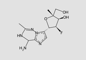 CC1=Nn2c([C@@H]3O[C@](C)(CO)[C@@H](O)[C@H]3F)cnc2C(N)N1